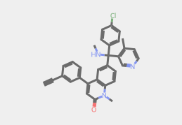 C#Cc1cccc(-c2cc(=O)n(C)c3ccc(C(NC)(c4ccc(Cl)cc4)c4cnccc4C)cc23)c1